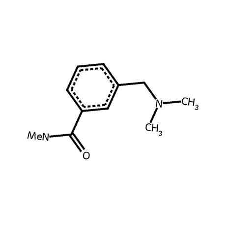 CNC(=O)c1cccc(CN(C)C)c1